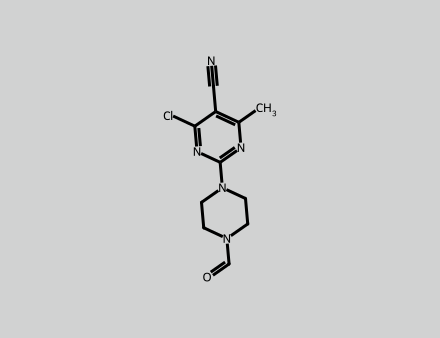 Cc1nc(N2CCN(C=O)CC2)nc(Cl)c1C#N